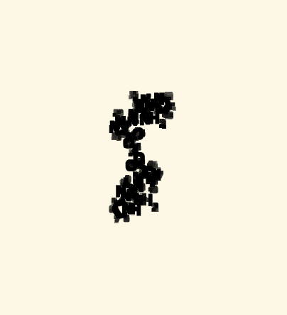 Cc1nn(C2=CC=CCN2)c(N)c1/N=N/c1c(C(=O)OCCOC(=O)c2cnn(C)c2/N=N/c2c(C)nn(-c3ccccn3)c2N)cnn1C